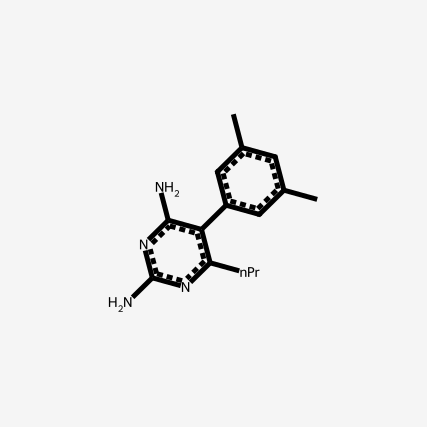 CCCc1nc(N)nc(N)c1-c1cc(C)cc(C)c1